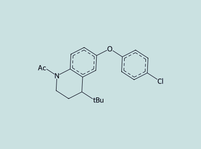 CC(=O)N1CCC(C(C)(C)C)c2cc(Oc3ccc(Cl)cc3)ccc21